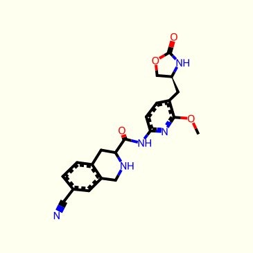 COc1nc(NC(=O)C2Cc3ccc(C#N)cc3CN2)ccc1C[C@H]1COC(=O)N1